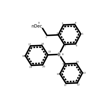 CCCCCCCCCCCc1ccccc1B(c1ccccc1)c1ccccc1